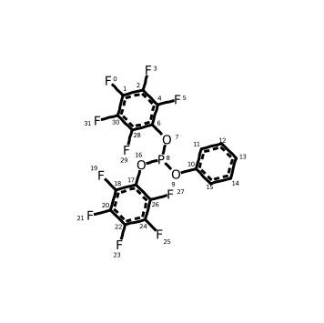 Fc1c(F)c(F)c(OP(Oc2ccccc2)Oc2c(F)c(F)c(F)c(F)c2F)c(F)c1F